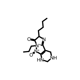 CCCCC1N=C2C3=C(NCNC3)[N+](=O)[N+]2(CCC)C1=O